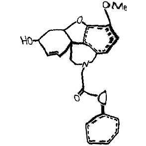 COc1ccc2c3c1OC1CC(O)C=CC31CCN(C(=O)Oc1ccccc1)C2